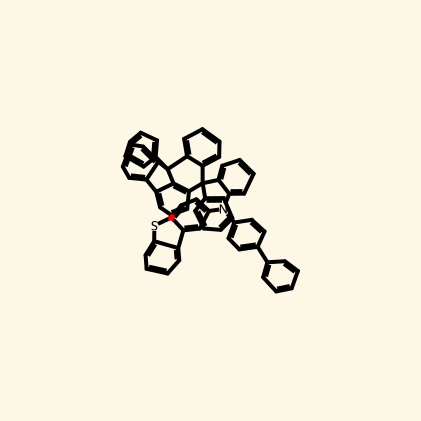 c1ccc(-c2ccc(N(c3ccc4sc5ccccc5c4c3)c3ccccc3C3(c4ccccc4)c4ccccc4C4(c5ccccc5)c5ccccc5-c5cccc3c54)cc2)cc1